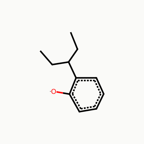 CCC(CC)c1ccccc1[O]